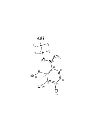 CC(C)(O)C(C)(C)OB(O)c1ccc(Cl)c(Cl)c1CBr